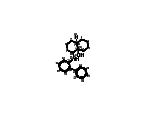 O[C@]12CCCC[C@@H]1CCCC2Nc1ccccc1-c1ccccc1